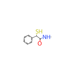 [NH]C(=O)C(S)c1ccccc1